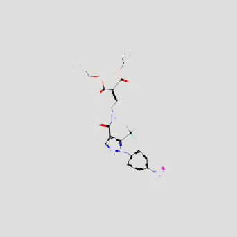 CCOC(=O)C(=CCNC(=O)c1cnn(-c2ccc([N+](=O)[O-])cc2)c1C(F)(F)F)C(=O)OCC